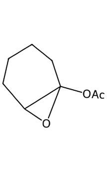 CC(=O)OC12CCCCC1O2